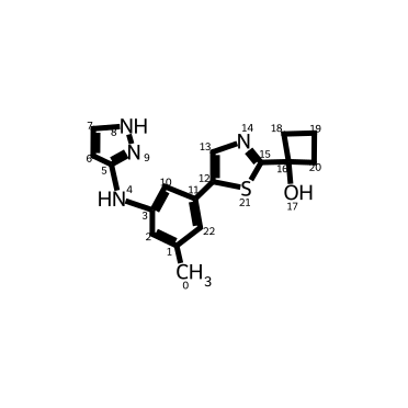 Cc1cc(Nc2cc[nH]n2)cc(-c2cnc(C3(O)CCC3)s2)c1